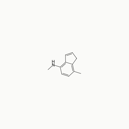 CNc1ccc(C)c2c1C=CC2